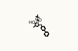 CC1C[C@@H](Cc2ccc(-c3ccccc3)cc2)N(C(=O)OC(C)(C)C)C1O